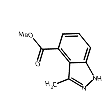 COC(=O)c1cccc2[nH]nc(C)c12